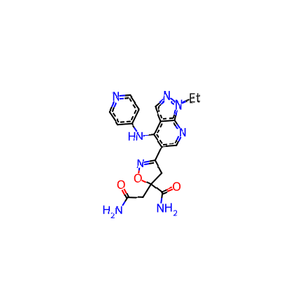 CCn1ncc2c(Nc3ccncc3)c(C3=NOC(CC(N)=O)(C(N)=O)C3)cnc21